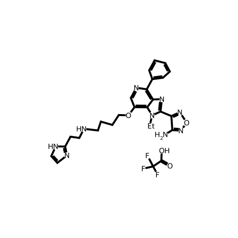 CCn1c(-c2nonc2N)nc2c(-c3ccccc3)ncc(OCCCCNCCc3ncc[nH]3)c21.O=C(O)C(F)(F)F